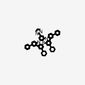 c1ccc(-c2ccc3c(c2)c2cc(C4CCCCC4)cc4c2n3-c2cc(-c3ncccn3)cc3c2B4c2cc(C4CCCCC4)cc4c5cc(-c6ccccc6)ccc5n-3c24)cc1